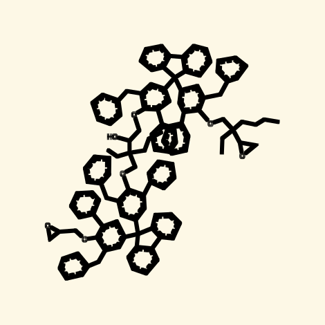 CCCCC(CC)(COc1c(Cc2ccccc2)cc(C2(c3cc(Cc4ccccc4)c(OCC(O)C(CC)(CCC)COc4c(Cc5ccccc5)cc(C5(c6cc(Cc7ccccc7)c(OCC7CO7)c(-c7ccccc7)c6)c6ccccc6-c6ccccc65)cc4-c4ccccc4)c(-c4ccccc4)c3)c3ccccc3-c3ccccc32)cc1-c1ccccc1)C1CO1